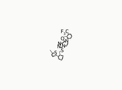 Cc1ccc(-c2ccccc2CSc2nnc3c(=O)n(-c4cccc(C(F)(F)F)c4C)ccn23)s1